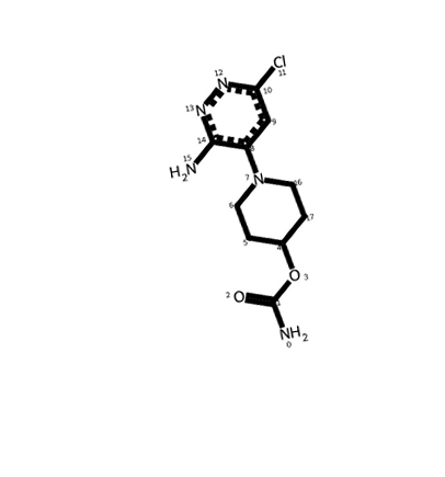 NC(=O)OC1CCN(c2cc(Cl)nnc2N)CC1